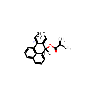 C=C(C)C(=O)OC1(C)C(=C/C)/C(=C\C)c2cccc3cccc1c23